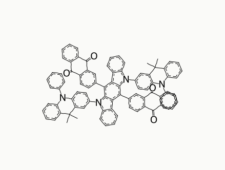 CC1(C)c2ccccc2N(c2ccccc2)c2ccc(-n3c4ccccc4c4c(-c5ccc6c(c5)C(=O)c5ccccc5C6=O)c5c(c(-c6ccc7c(c6)C(=O)c6ccccc6C7=O)c43)c3ccccc3n5-c3ccc4c(c3)C(C)(C)c3ccccc3N4c3ccccc3)cc21